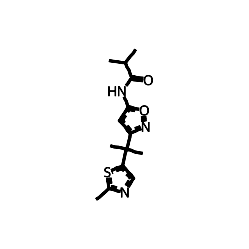 Cc1ncc(C(C)(C)c2cc(NC(=O)C(C)C)on2)s1